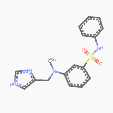 CCCCN(Cc1c[nH]cn1)c1cccc(S(=O)(=O)Nc2ccccc2)c1